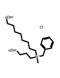 CCCCCCCCCCCCCCCCCC[N+](C)(CCCCCCCCCCCCC)Cc1ccccc1.[Cl-]